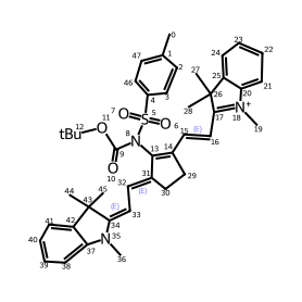 Cc1ccc(S(=O)(=O)N(C(=O)OC(C)(C)C)C2=C(/C=C/C3=[N+](C)c4ccccc4C3(C)C)CC/C2=C\C=C2\N(C)c3ccccc3C2(C)C)cc1